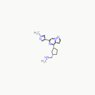 CNC[C@@H]1CC[C@H](c2nc(-c3cnn(C)c3)cn3nccc23)C1